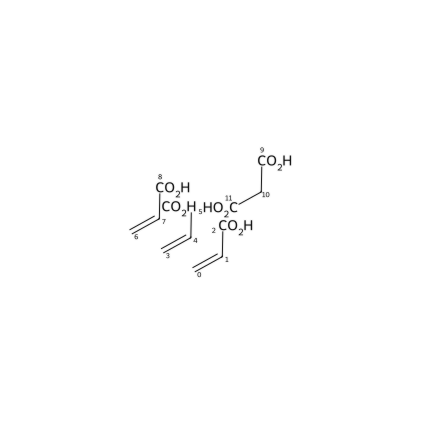 C=CC(=O)O.C=CC(=O)O.C=CC(=O)O.O=C(O)CC(=O)O